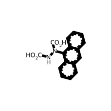 O=C(O)NN(C(=O)O)c1c2ccccc2cc2ccccc12